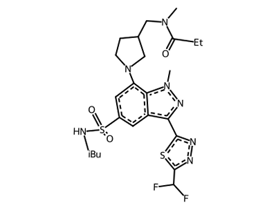 CCC(=O)N(C)CC1CCN(c2cc(S(=O)(=O)NC(C)CC)cc3c(-c4nnc(C(F)F)s4)nn(C)c23)C1